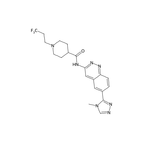 Cn1cnnc1-c1ccc2nnc(NC(=O)C3CCN(CCC(F)(F)F)CC3)cc2c1